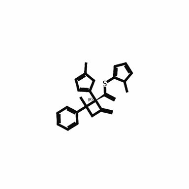 C=C1CC(C)(c2ccccc2)[C@]1(C(=C)SC1=CC=CC1C)C1=CC=C(C)C1